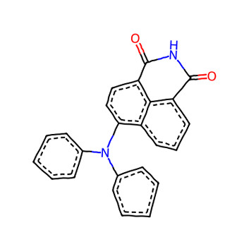 O=C1NC(=O)c2ccc(N(c3ccccc3)c3ccccc3)c3cccc1c23